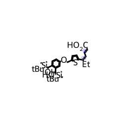 CC/C(=C/C=C/C(=O)O)c1ccc(COc2ccc(C(O)[Si](C)(C)C(C)(C)C)c(C(O)[Si](C)(C)C(C)(C)C)c2)s1